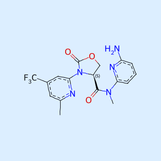 Cc1cc(C(F)(F)F)cc(N2C(=O)OC[C@H]2C(=O)N(C)c2cccc(N)n2)n1